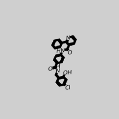 O=C(NCc1ccc(Cl)cc1O)c1ccc(NC(=O)c2cccnc2-c2ccccc2)cc1